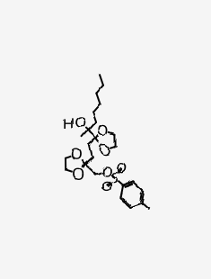 CCCCCCC(C)(O)C1(CCC2(COS(=O)(=O)c3ccc(C)cc3)OCCO2)OCCO1